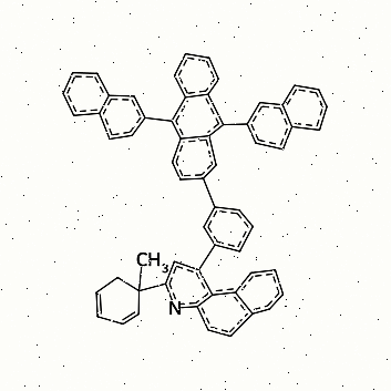 CC1(c2cc(-c3cccc(-c4ccc5c(-c6ccc7ccccc7c6)c6ccccc6c(-c6ccc7ccccc7c6)c5c4)c3)c3c(ccc4ccccc43)n2)C=CC=CC1